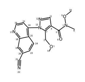 COCc1c(C(=O)N(C)OC)cnn1-c1ccnc2cc(C#N)ccc12